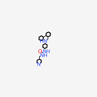 O=C(NCc1ccncc1)Nc1ccc(NCc2ccccc2-c2ccccc2)cc1